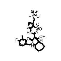 Cc1cc(CN2C(=O)C(C3=NS(=O)(=O)c4c(CNS(C)(=O)=O)csc4N3)=C(O)[C@@H]3CCCCC[C@@H]32)ccc1F